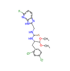 COC(OC)C(Cc1ccc(Cl)cc1Cl)NC(=S)NCc1nc2ccc(F)nc2[nH]1